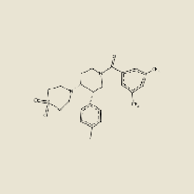 Cc1ccc([C@H]2CN(C(=O)c3cc(C(F)(F)F)cc(C(F)(F)F)c3)CC[C@H]2N2CCS(=O)(=O)CC2)cc1